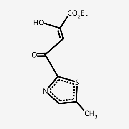 CCOC(=O)C(O)=CC(=O)c1ncc(C)s1